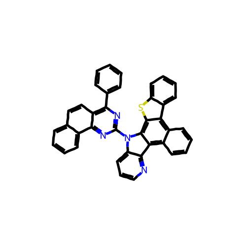 c1ccc(-c2nc(-n3c4cccnc4c4c5ccccc5c5c6ccccc6sc5c43)nc3c2ccc2ccccc23)cc1